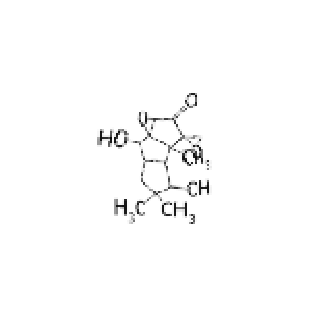 CC1(C)CC2C(O)C34OC3C(=O)C3(CO3)C4(C)C2C1O